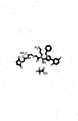 CC(C)(C)[C@H](c1cc(-c2cc(F)ccc2F)cn1Cc1ccccc1)N(CCCN)C(=O)CSC[C@H](NC(=O)CN1C(=O)C=CC1=O)C(=O)O.O=C(O)C(F)(F)F